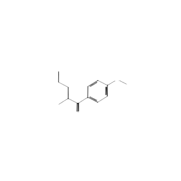 CCCC(C)C(=O)c1ccc(SC)cc1